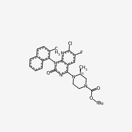 Cc1ccc2ccccc2c1-n1c(=O)nc(N2CCN(C(=O)OC(C)(C)C)C[C@@H]2C)c2cc(F)c(Cl)nc21